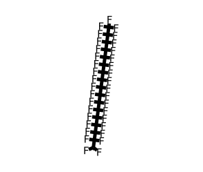 F[C](F)C(F)(F)C(F)(F)C(F)(F)C(F)(F)C(F)(F)C(F)(F)C(F)(F)C(F)(F)C(F)(F)C(F)(F)C(F)(F)C(F)(F)C(F)(F)C(F)(F)C(F)(F)C(F)(F)F